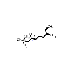 C=CC(=C)CC/C=C(\C)C[Si](C)(C)Cl